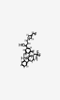 C[C@@H]1Cc2c([nH]c3ccccc23)[C@@H](c2c(F)cc([C@@H](O)CCN3CC(CF)C3)cc2F)N1CC(F)(F)F